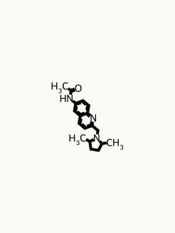 CC(=O)Nc1ccc2nc(CN3C(C)CCC3C)ccc2c1